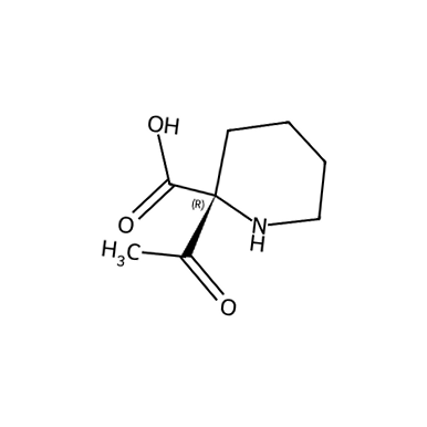 CC(=O)[C@@]1(C(=O)O)CCCCN1